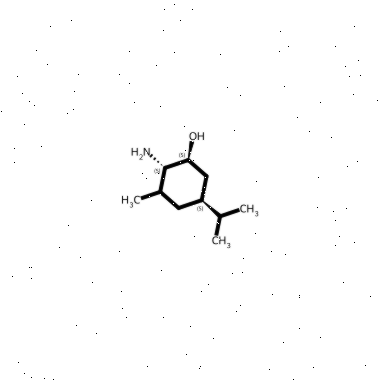 CC(C)[C@H]1CC(C)[C@H](N)[C@@H](O)C1